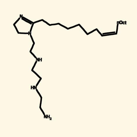 CCCCCCCC/C=C\CCCCCCCC1=NCCN1CCNCCNCCN